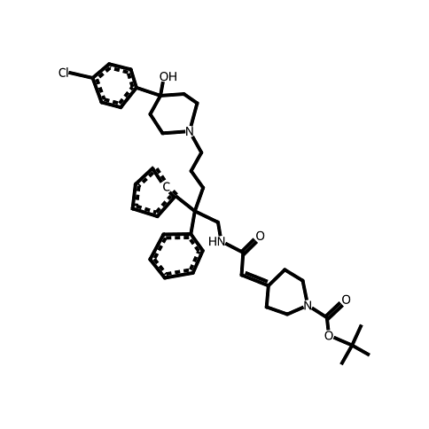 CC(C)(C)OC(=O)N1CCC(=CC(=O)NCC(CCCN2CCC(O)(c3ccc(Cl)cc3)CC2)(c2ccccc2)c2ccccc2)CC1